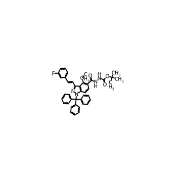 COc1c(C(=O)NNC(=O)OC(C)(C)C)ccc2c1c(C=Cc1cccc(F)c1)nn2C(c1ccccc1)(c1ccccc1)c1ccccc1